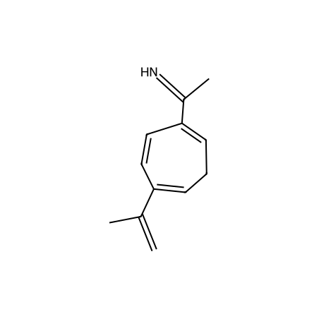 C=C(C)C1=CCC=C(C(C)=N)C=C1